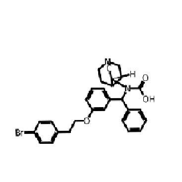 O=C(O)N(C(c1ccccc1)c1cccc(OCCc2ccc(Br)cc2)c1)[C@H]1CN2CCC1CC2